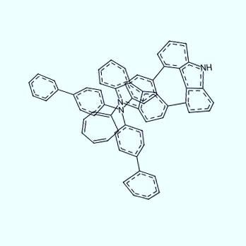 C1=CC=C(n2c3ccccc3c3cc(-c4cccc5[nH]c6cccc(-c7ccc(N(c8ccc(-c9ccccc9)cc8)c8ccc(-c9ccccc9)cc8)cc7)c6c45)ccc32)CC=C1